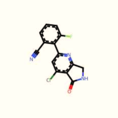 N#Cc1cccc(F)c1-c1cc(Cl)c2c(n1)CNC2=O